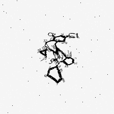 OC(=S)N(c1ccccc1)c1ccccc1C1CN(C2CC2)Cc2c(Cl)cc(Cl)cc21